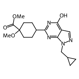 COC(=O)C1(OC)CCC(c2nc(O)c3cnn(CC4CC4)c3n2)CC1